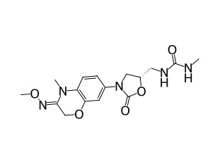 CNC(=O)NC[C@H]1CN(c2ccc3c(c2)OCC(=NOC)N3C)C(=O)O1